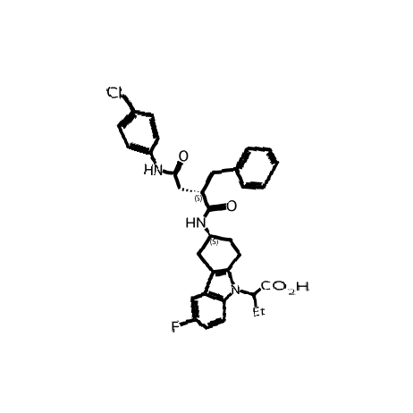 CCC(C(=O)O)n1c2c(c3cc(F)ccc31)C[C@@H](NC(=O)[C@H](CC(=O)Nc1ccc(Cl)cc1)Cc1ccccc1)CC2